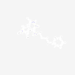 Cc1nnc(NCCCCc2ccccc2)c2c(C)n(C)cc12